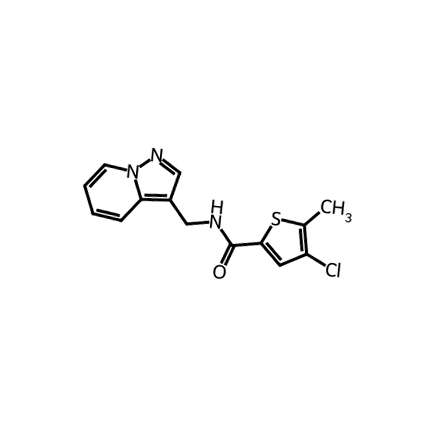 Cc1sc(C(=O)NCc2cnn3ccccc23)cc1Cl